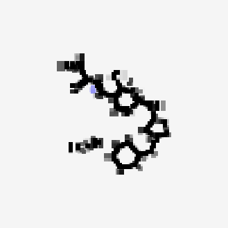 Cc1nc(NC2CCN(CC3CCCCC3)C2)ncc1/C=C/C(=O)NO.Cl.Cl